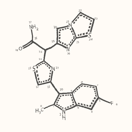 Cc1[nH]c2cc(F)ccc2c1-c1csc(C(C(N)=O)c2cn3ccsc3n2)n1